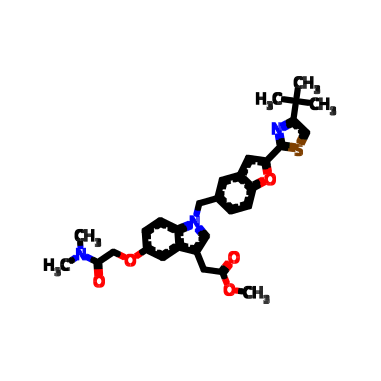 COC(=O)Cc1cn(Cc2ccc3oc(-c4nc(C(C)(C)C)cs4)cc3c2)c2ccc(OCC(=O)N(C)C)cc12